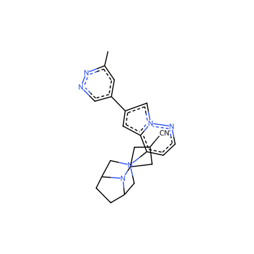 Cc1cc(-c2cc3c(N4CC5CCC(C4)N5C4CC(C#N)C4)ccnn3c2)cnn1